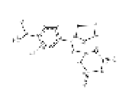 CC(O)c1ccc(CCC2(C3CCCC3)CC(=O)CC(=O)O2)cc1F